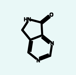 O=C1NCc2cncnc21